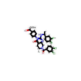 CNC(=O)c1ccc(-n2c(NC(C)c3ccc(F)c(F)c3)nc3c(c2=O)C[C@@H](C)N(C(=O)c2ccc(Cl)c(Cl)c2)C3)cc1